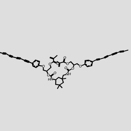 C=C(C)C(=O)OCC(COc1ccc(C#CC#CC#CC#CC)cc1)OC(=O)NCC1(C)CC(NC(=O)OC(COC(=O)C(=C)C)COc2ccc(C#CC#CC#CC#CC)cc2)CC(C)(C)C1